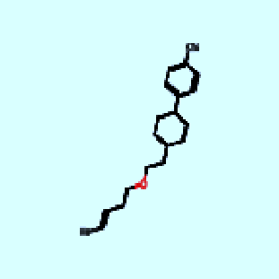 CC/C=C/CCOCCC1CCC(c2ccc(C#N)cc2)CC1